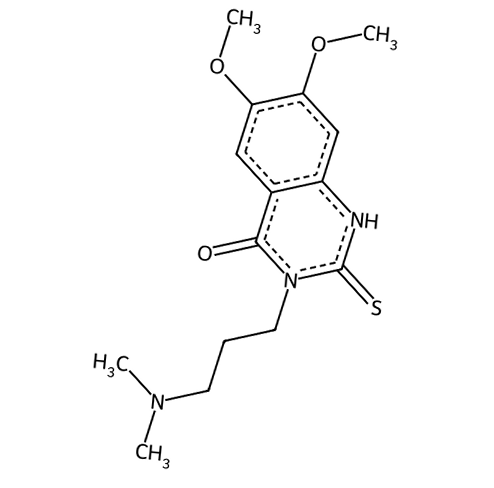 COc1cc2[nH]c(=S)n(CCCN(C)C)c(=O)c2cc1OC